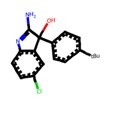 CC(C)(C)c1ccc(C2(O)C(N)=Nc3ccc(Cl)cc32)cc1